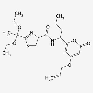 C=CCOc1cc(C(CCC)NC(=O)C2CSC(C(C)(OCC)OCC)=N2)oc(=O)c1